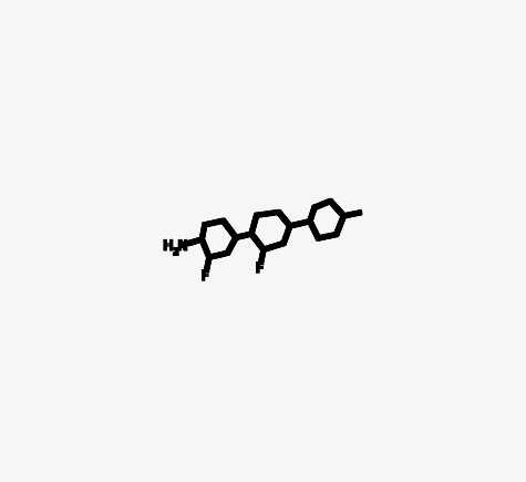 CC1CCC(C2CCC(C3CCC(N)C(F)C3)C(F)C2)CC1